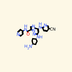 N#Cc1ccc(Nc2cc(N[C@H]3CC[C@H](N)CC3)nn3c(C(=O)Nc4ccncc4)cnc23)nc1